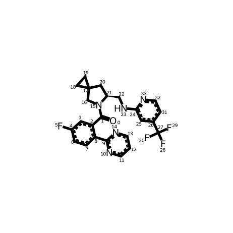 O=C(c1cc(F)ccc1-c1ncccn1)N1CC2(CC2)C[C@H]1CNc1cc(C(F)(F)F)ccn1